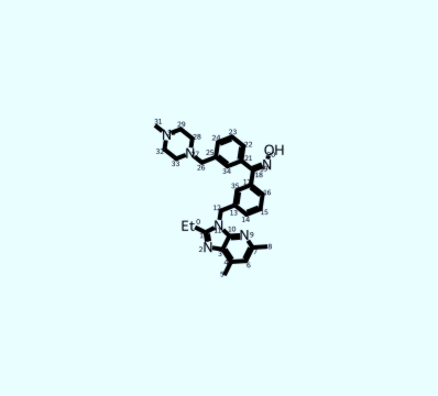 CCc1nc2c(C)cc(C)nc2n1Cc1cccc(/C(=N/O)c2cccc(CN3CCN(C)CC3)c2)c1